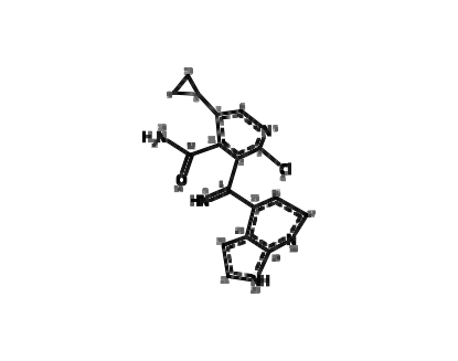 N=C(c1c(Cl)ncc(C2CC2)c1C(N)=O)c1ccnc2[nH]ccc12